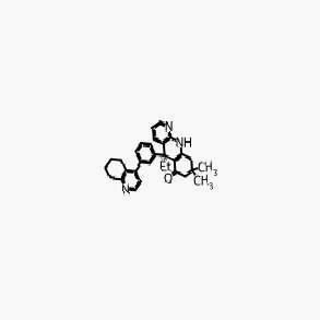 CC[C@@]1(c2cccc(-c3ccnc4c3CCCC4)c2)C2=C(CC(C)(C)CC2=O)Nc2ncccc21